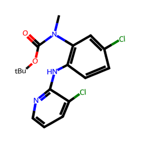 CN(C(=O)OC(C)(C)C)c1cc(Cl)ccc1Nc1ncccc1Cl